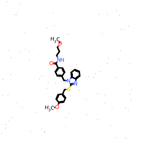 COCCCNC(=O)c1ccc(Cn2c(SCc3ccc(OC)cc3)nc3ccccc32)cc1